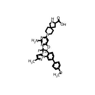 COc1ccc(-c2ccc([C@@H](Oc3cc(N4CCC5(CC4)CNC(C(=O)O)C5)nc(N)n3)C(F)(F)F)c(-n3ccc(C)n3)c2)cc1